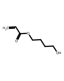 C=CC(=O)OCC[CH]CO